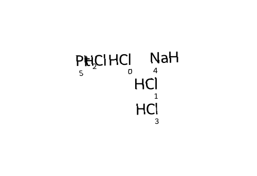 Cl.Cl.Cl.Cl.[NaH].[Pt]